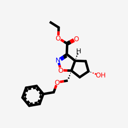 CCOC(=O)C1=NO[C@]2(COCc3ccccc3)C[C@@H](O)C[C@H]12